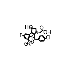 CS(=O)(=O)c1cc(F)cc2c3c(n(Cc4ccc(Cl)cc4)c12)[C@@H](CC(=O)O)CC3O